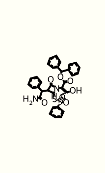 CC(O)=C(C(=O)OC(c1ccccc1)c1ccccc1)N1C(=O)C(C(C(N)=O)c2ccccc2)C1SS(=O)(=O)c1ccccc1